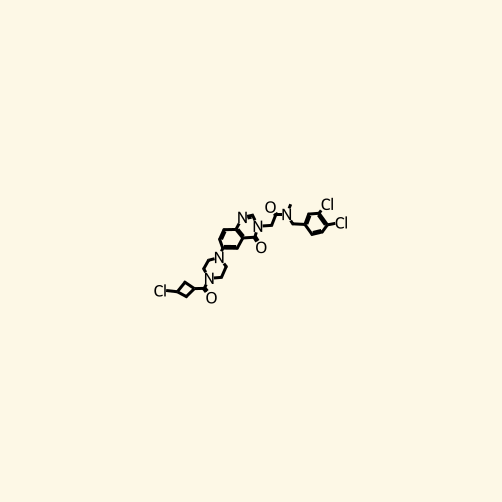 CN(Cc1ccc(Cl)c(Cl)c1)C(=O)Cn1cnc2ccc(N3CCN(C(=O)C4CC(Cl)C4)CC3)cc2c1=O